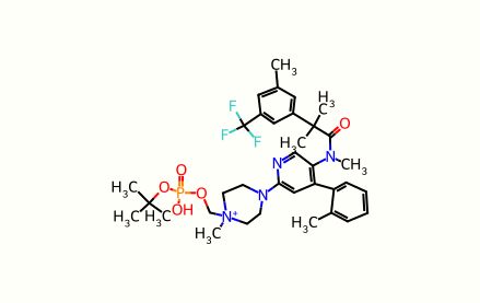 Cc1cc(C(F)(F)F)cc(C(C)(C)C(=O)N(C)c2cnc(N3CC[N+](C)(COP(=O)(O)OC(C)(C)C)CC3)cc2-c2ccccc2C)c1